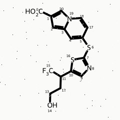 O=C(O)c1cc2cc(Sc3ncc(C(CCO)C(F)(F)F)s3)ccn2c1